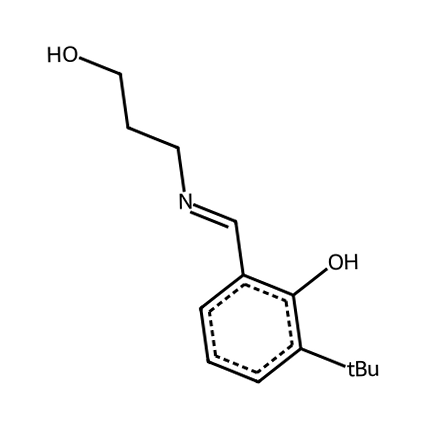 CC(C)(C)c1cccc(/C=N/CCCO)c1O